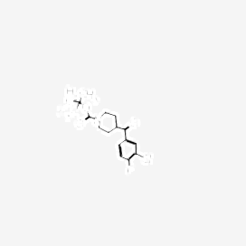 CC(C)(C)OC(=O)N1CCC(C(=O)c2ccc(F)c(Cl)c2)CC1